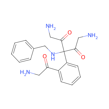 NCC(=O)c1ccccc1C(NCc1ccccc1)(C(=O)CN)C(=O)CN